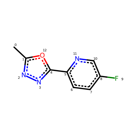 Cc1nnc(-c2ccc(F)cn2)o1